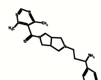 Cc1ncnc(C)c1C(=O)N1CC2CN(CCC(N)c3ccccc3)CC2C1